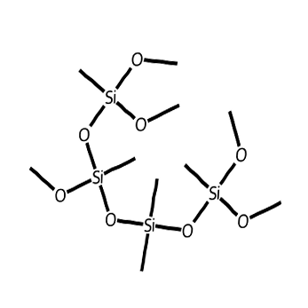 CO[Si](C)(OC)O[Si](C)(C)O[Si](C)(OC)O[Si](C)(OC)OC